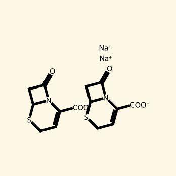 O=C([O-])C1=CCSC2CC(=O)N12.O=C([O-])C1=CCSC2CC(=O)N12.[Na+].[Na+]